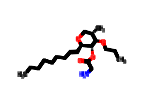 CCCCCCCC=C[C@H]1OC[C@H](C)[C@@H](OCCC)[C@@H]1OC(=O)CN